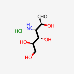 Cl.N[C@@H]([C@H](O)[C@H](O)CO)[C@H](O)C=O